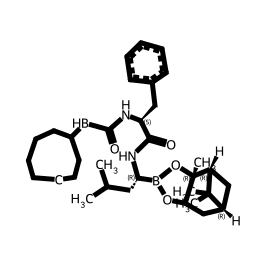 CC(C)C[C@H](NC(=O)[C@H](Cc1ccccc1)NC(=O)BC1CCCCCCC1)B1OC2C[C@H]3C[C@H](C3(C)C)[C@@]2(C)O1